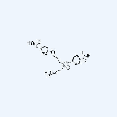 CCCCc1oc(-c2ccc(C(F)(F)F)cc2)cc1CCCOc1ccc(CC(=O)O)cc1